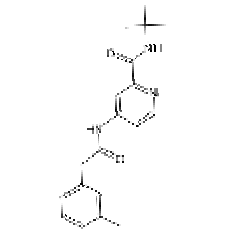 Cc1cccc(CC(=O)Nc2ccnc(C(=O)NC(C)(C)C)c2)c1